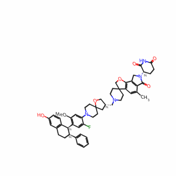 COc1cc(N2CCC3(CC2)C[C@@H](CN2CCC4(CC2)COc2c4cc(C)c4c2CN([C@H]2CCC(=O)NC2=O)C4=O)CO3)c(F)cc1[C@@H]1c2ccc(O)cc2CC[C@@H]1c1ccccc1